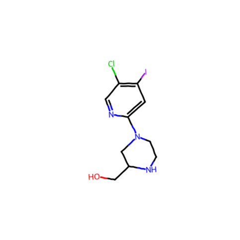 OCC1CN(c2cc(I)c(Cl)cn2)CCN1